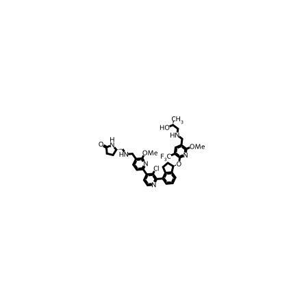 COc1nc(-c2ccnc(-c3cccc4c3CC[C@@H]4Oc3nc(OC)c(CNC[C@@H](C)O)cc3C(F)(F)F)c2Cl)ccc1CNC[C@@H]1CCC(=O)N1